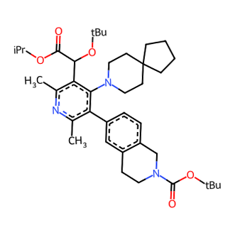 Cc1nc(C)c(C(OC(C)(C)C)C(=O)OC(C)C)c(N2CCC3(CCCC3)CC2)c1-c1ccc2c(c1)CCN(C(=O)OC(C)(C)C)C2